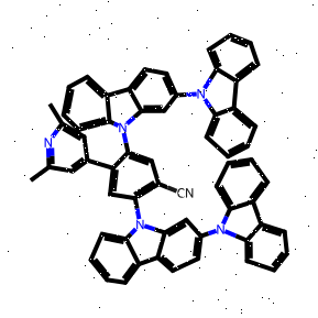 Cc1cc(-c2cc(-n3c4ccccc4c4ccc(-n5c6ccccc6c6ccccc65)cc43)c(C#N)cc2-n2c3ccccc3c3ccc(-n4c5ccccc5c5ccccc54)cc32)cc(C)n1